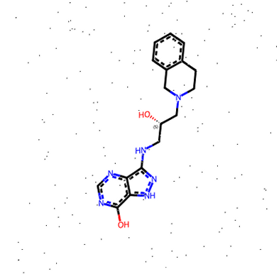 Oc1ncnc2c(NC[C@H](O)CN3CCc4ccccc4C3)n[nH]c12